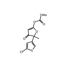 COC(=O)OC1=CC(=O)C(C)(c2csc(Cl)c2)O1